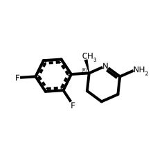 C[C@]1(c2ccc(F)cc2F)CCCC(N)=N1